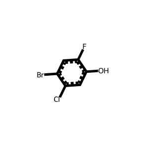 Oc1cc(Cl)c(Br)cc1F